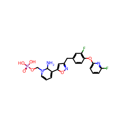 NC1C(c2cc(Cc3ccc(Oc4cccc(F)n4)c(F)c3)no2)=CC=CN1COP(=O)(O)O